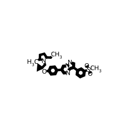 CCC1CCC(C)N1CC1(Oc2ccc(-c3cnc4c(-c5cccc(S(C)(=O)=O)c5)cnn4c3)cc2)CC1